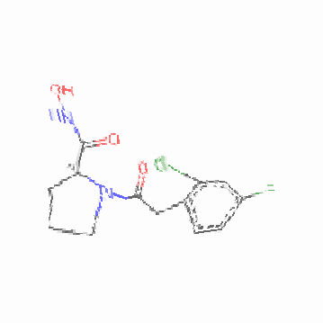 O=C(NO)[C@@H]1CCCN1C(=O)Cc1ccc(F)cc1Cl